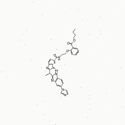 CCCCOC(=O)c1ccccc1OCCNC(=O)c1ccc2nc(C(C)c3nc4cc(-n5ccnc5)ccc4[nH]3)n(C)c2c1